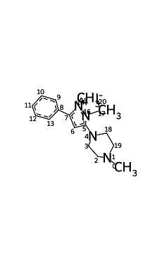 CN1CCN(c2cc(-c3ccccc3)[n+](C)n2C)CC1.[I-]